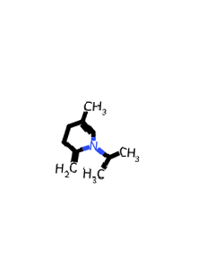 C=C1CCC(C)=CN1C(C)C